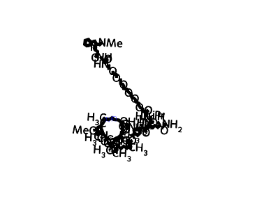 CNCc1cc2ccccc2n1CCC(=O)NCC(=O)NCCOCCOCCOCCOCCOCCOCCC(=O)N[C@H](C(=O)N[C@@H](CCCNC(N)=O)C(=O)Nc1ccc(COC(=O)N(C)CCCC(=O)N(C)[C@@H](C)C(=O)O[C@H]2CC(=O)N(C)c3cc(cc(OC)c3Cl)C/C(C)=C/C=C/CC(O)C[C@H](OC(N)=O)[C@@H](C)C3O[C@]32C)cc1)C(C)C